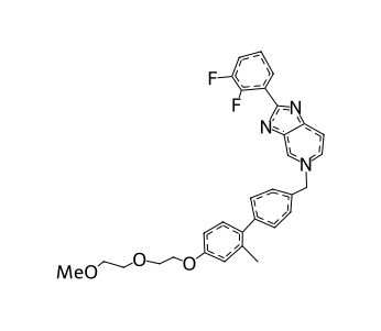 COCCOCCOc1ccc(-c2ccc(Cn3ccc4nc(-c5cccc(F)c5F)nc-4c3)cc2)c(C)c1